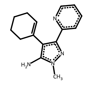 Cn1nc(-c2ccccn2)c(C2=CCCCC2)c1N